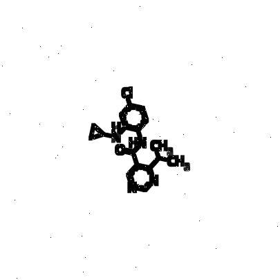 CC(C)c1ncncc1C(=O)Nc1ccc(Cl)cc1NC1CC1